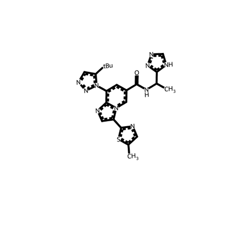 Cc1cnc(-c2cnc3c(-n4nncc4C(C)(C)C)cc(C(=O)NC(C)c4nnc[nH]4)cn23)s1